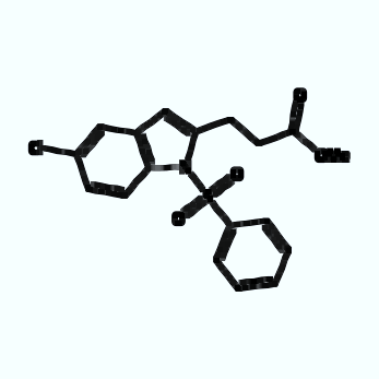 COC(=O)CCc1cc2cc(Cl)ccc2n1S(=O)(=O)c1ccccc1